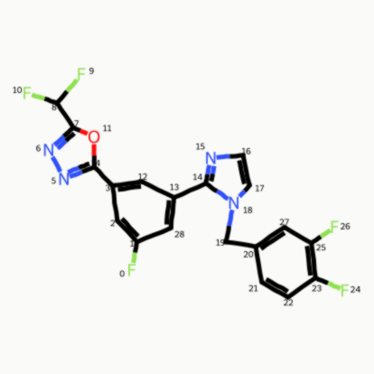 Fc1cc(-c2nnc(C(F)F)o2)cc(-c2nccn2Cc2ccc(F)c(F)c2)c1